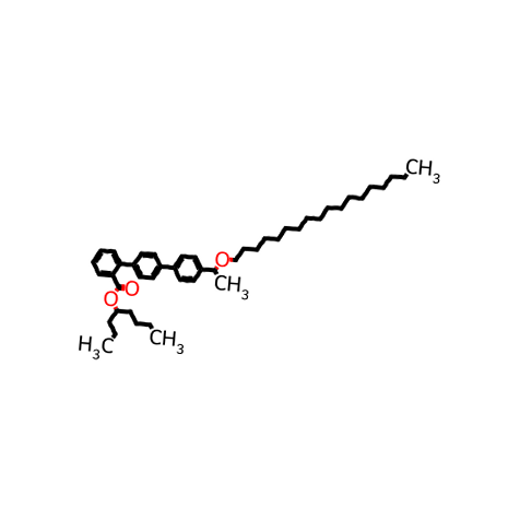 CCCCCCCCCCCCCCCCCCOC(C)c1ccc(-c2ccc(-c3ccccc3C(=O)OC(CCC)CCCC)cc2)cc1